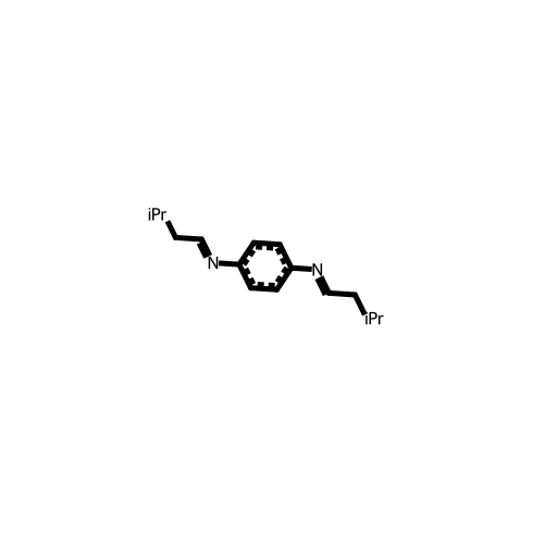 CC(C)CC=Nc1ccc(N=CCC(C)C)cc1